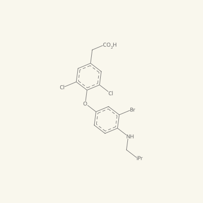 CC(C)CNc1ccc(Oc2c(Cl)cc(CC(=O)O)cc2Cl)cc1Br